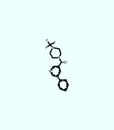 Cl.FC(F)(F)N1CCN(Cc2cncc(-c3ccccc3)c2)CC1